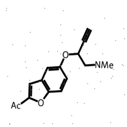 C#CC(CNC)Oc1ccc2oc(C(C)=O)cc2c1